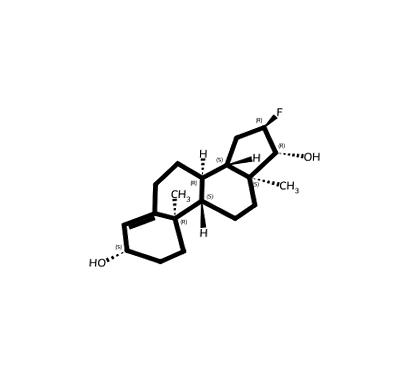 C[C@]12CC[C@H]3[C@@H](CCC4=C[C@@H](O)CC[C@@]43C)[C@@H]1C[C@@H](F)[C@@H]2O